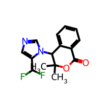 CC1(C)OC(=O)c2ccccc2C1n1cncc1C(F)F